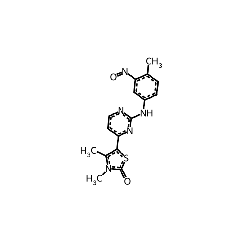 Cc1ccc(Nc2nccc(-c3sc(=O)n(C)c3C)n2)cc1N=O